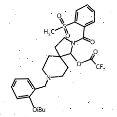 CC(C)COc1ccccc1CN1CCC2(CC1)CCN(C(=O)c1ccccc1S(C)(=O)=O)C2OC(=O)C(F)(F)F